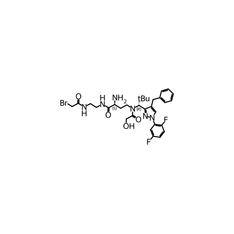 CC(C)(C)[C@H](c1nn(-c2cc(F)ccc2F)cc1Cc1ccccc1)N(CC[C@H](N)C(=O)NCCNC(=O)CBr)C(=O)CO